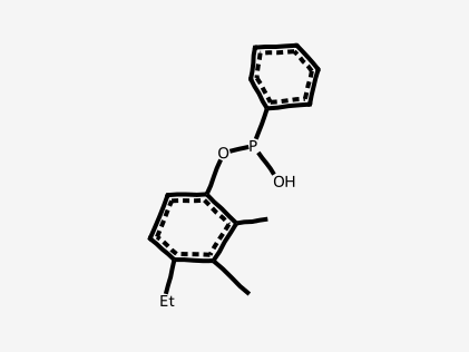 CCc1ccc(OP(O)c2ccccc2)c(C)c1C